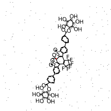 CCC1=C(C2=C(C3=C(CC)S(=O)(=O)c4cc(-c5ccc(C(=O)O[C@H]6[C@H](O)[C@@H](O)[C@H](O)[C@@H](O)[C@@H]6O)cc5)ccc43)C(F)(F)C(F)(F)C2(F)F)c2ccc(-c3ccc(C(=O)O[C@@H]4[C@H](O)[C@@H](O)[C@H](O)[C@@H](O)[C@@H]4O)cc3)cc2S1(=O)=O